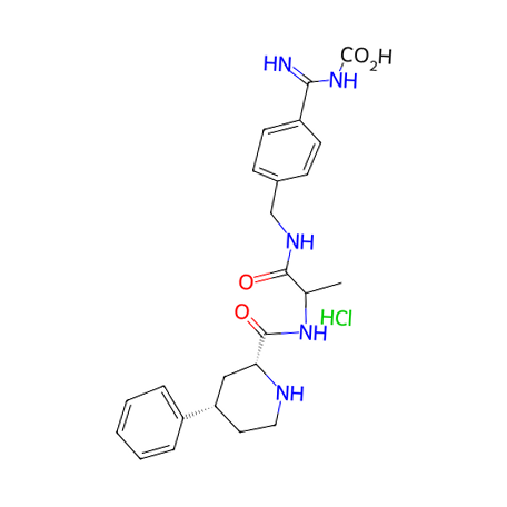 CC(NC(=O)[C@H]1C[C@@H](c2ccccc2)CCN1)C(=O)NCc1ccc(C(=N)NC(=O)O)cc1.Cl